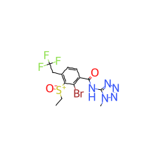 CC[S+]([O-])c1c(CC(F)(F)F)ccc(C(=O)Nc2nnnn2C)c1Br